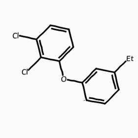 CCc1cc[c]c(Oc2cccc(Cl)c2Cl)c1